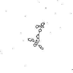 CC1(C)c2cc(-c3ccc(-c4nc5ccccc5n4-c4ccccc4)cc3)ccc2-c2cc3c(-c4ccc5ccccc5c4)c4ccccc4c(-c4ccc5ccccc5c4)c3cc21